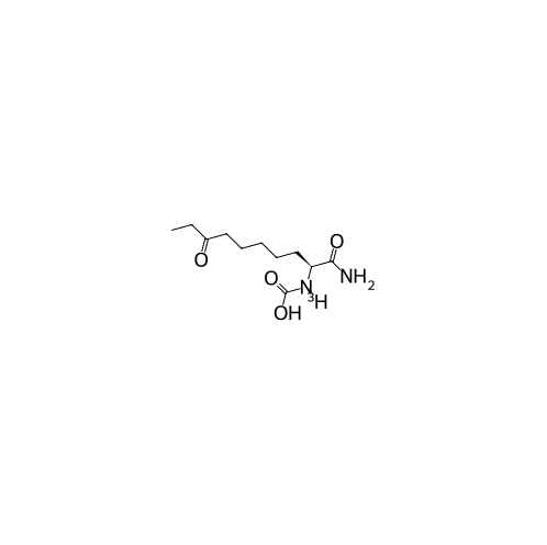 [3H]N(C(=O)O)[C@@H](CCCCCC(=O)CC)C(N)=O